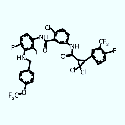 O=C(Nc1ccc(F)c(NCc2ccc(OC(F)(F)F)cc2)c1F)c1cc(NC(=O)C2C(c3ccc(F)c(C(F)(F)F)c3)C2(Cl)Cl)ccc1Cl